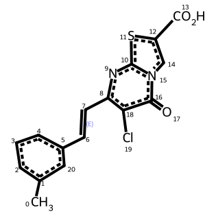 Cc1cccc(/C=C/c2nc3sc(C(=O)O)cn3c(=O)c2Cl)c1